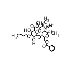 CCCCOC1[C@H](O)C(C(=O)OC)O[C@@H](O[C@@H]2C(COC(=O)c3ccccc3)O[C@H](OC)C(N=[N+]=[N-])[C@H]2OCCCC)[C@H]1O